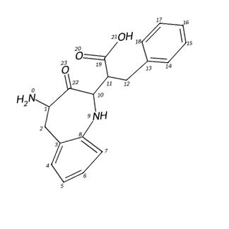 NC1Cc2ccccc2NC(C(Cc2ccccc2)C(=O)O)C1=O